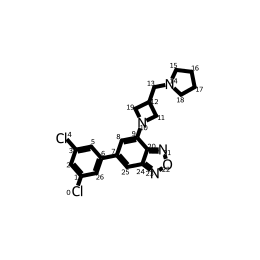 Clc1cc(Cl)cc(-c2cc(N3CC(CN4CCCC4)C3)c3nonc3c2)c1